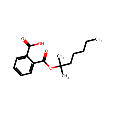 CCCCCC(C)(C)OC(=O)c1ccccc1C(=O)O